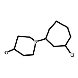 [O]C1CCN(C2CCCCC(Cl)C2)CC1